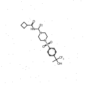 CCC(NC(=O)C1CCC1)N1CCN(S(=O)(=O)c2ccc(C(C)(O)C(F)(F)F)cc2)CC1